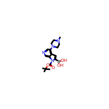 CN1CCN(c2cncc3c2cc(B(O)O)n3C(=O)OC(C)(C)C)CC1